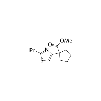 COC(=O)C1(c2csc(C(C)C)n2)CCCC1